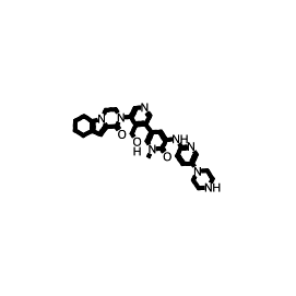 Cn1cc(-c2cncc(N3CCn4c(cc5c4CCCC5)C3=O)c2CO)cc(Nc2ccc(N3CCNCC3)cn2)c1=O